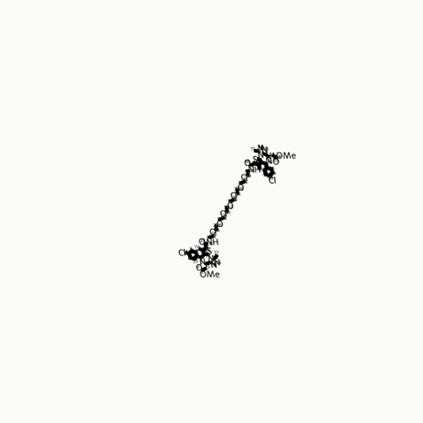 COC(=O)C[C@@H]1N=C(c2ccc(Cl)cc2)c2c(sc(C(=O)NCCOCCOCCOCCOCCOCCOCCOCCNC(=O)c3sc4c(c3C)C(c3ccc(Cl)cc3)=N[C@@H](CC(=O)OC)c3nnc(C)n3-4)c2C)-n2c(C)nnc21